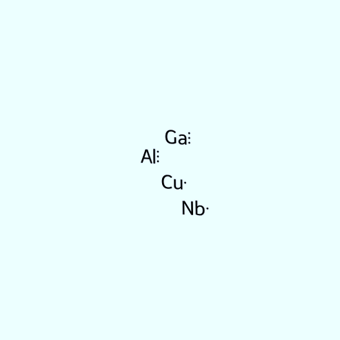 [Al].[Cu].[Ga].[Nb]